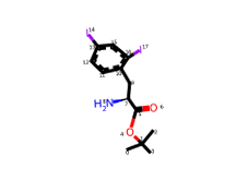 CC(C)(C)OC(=O)[C@@H](N)Cc1ccc(I)cc1I